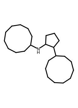 C1CCCCC(NC2CCCC2C2CCCCCCCCC2)CCCC1